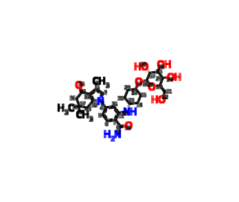 Cc1cn(-c2ccc(C(N)=O)c(N[C@H]3CC[C@H](O[C@@H]4O[C@H](CO)[C@H](O)[C@H](O)[C@H]4O)CC3)c2)c2c1C(=O)CC(C)(C)C2